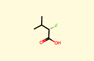 CC(C)[C@H](F)C(=O)O